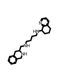 c1ccc2c(c1)CNC(CNCCCCNC1CCCc3cccnc31)C2